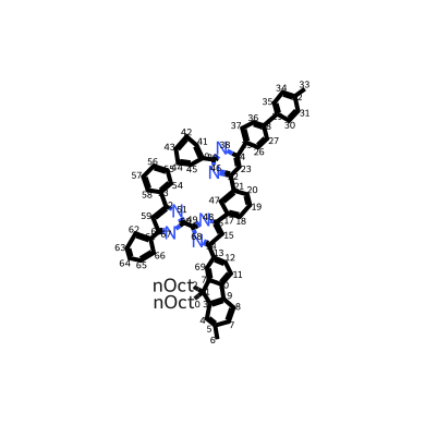 CCCCCCCCC1(CCCCCCCC)c2cc(C)ccc2-c2ccc(-c3cc(-c4cccc(-c5cc(-c6ccc(-c7ccc(C)cc7)cc6)nc(-c6ccccc6)n5)c4)nc(-c4nc(-c5ccccc5)cc(-c5ccccc5)n4)n3)cc21